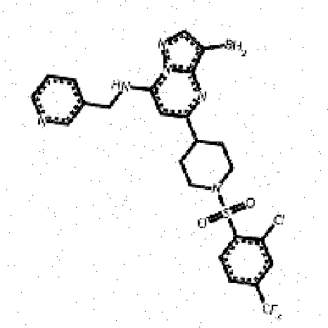 Bc1cnn2c(NCc3cccnc3)cc(C3CCN(S(=O)(=O)c4ccc(C(F)(F)F)cc4Cl)CC3)nc12